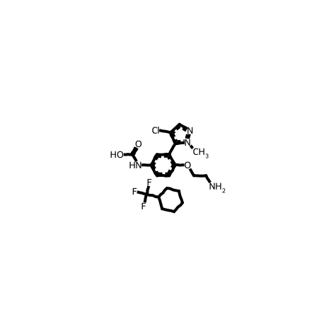 Cn1ncc(Cl)c1-c1cc(NC(=O)O)ccc1OCCN.FC(F)(F)C1CCCCC1